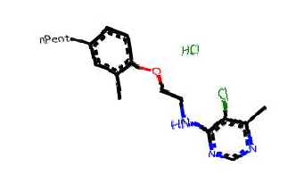 CCCCCc1ccc(OCCNc2ncnc(C)c2Cl)c(C)c1.Cl